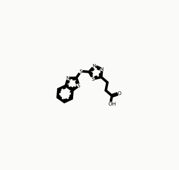 O=C(O)CCc1nnc(Sc2nc3ccccc3s2)s1